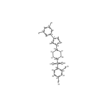 Cc1cc(C)cc(-c2csc(N3CCN(S(=O)(=O)c4ccc(F)cc4F)CC3)n2)c1